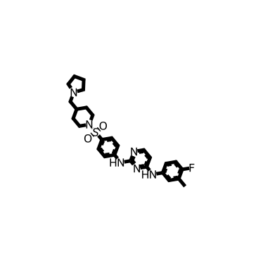 Cc1cc(Nc2ccnc(Nc3ccc(S(=O)(=O)N4CCC(CN5CCCC5)CC4)cc3)n2)ccc1F